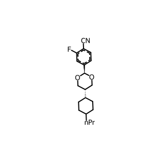 CCCC1CCC([C@H]2CO[C@H](c3ccc(C#N)c(F)c3)OC2)CC1